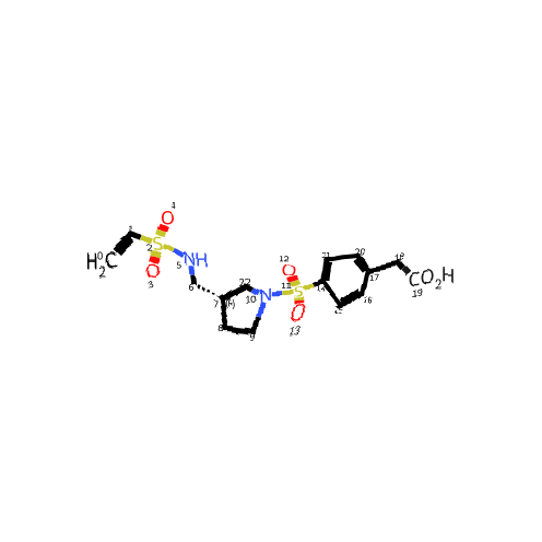 C=CS(=O)(=O)NC[C@H]1CCN(S(=O)(=O)c2ccc(CC(=O)O)cc2)C1